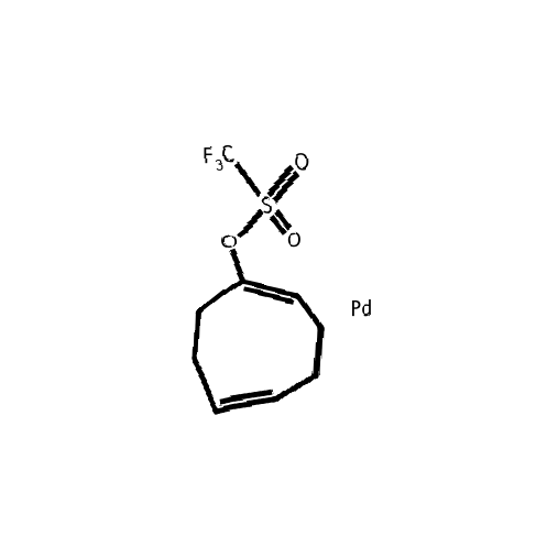 O=S(=O)(OC1=CCCC=CCC1)C(F)(F)F.[Pd]